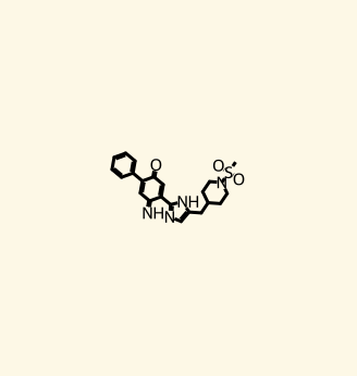 CS(=O)(=O)N1CCC(Cc2cnc(C3=CC(=O)C(c4ccccc4)=CC3=N)[nH]2)CC1